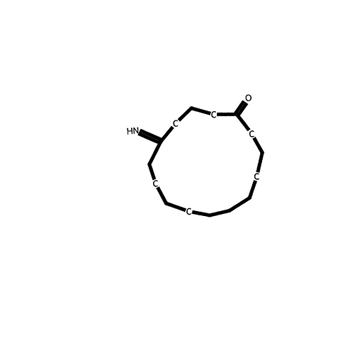 N=C1CCCCCCCCCCC(=O)CCC1